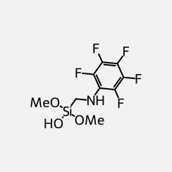 CO[Si](O)(CNc1c(F)c(F)c(F)c(F)c1F)OC